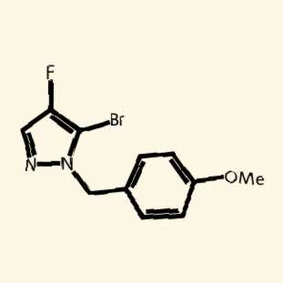 COc1ccc(Cn2ncc(F)c2Br)cc1